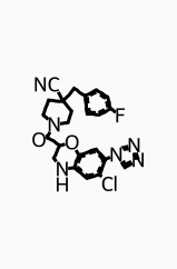 N#CC1(Cc2ccc(F)cc2)CCN(C(=O)C2CNc3cc(Cl)c(-n4cnnc4)cc3O2)CC1